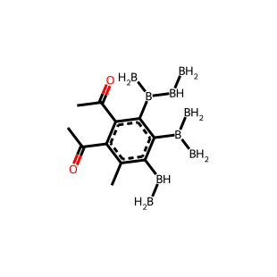 BBB(B)c1c(B(B)B)c(BB)c(C)c(C(C)=O)c1C(C)=O